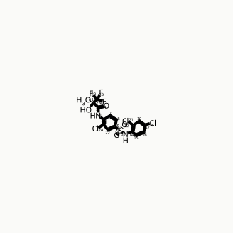 C[C@@](O)(C(=O)Nc1ccc(S(=O)(=O)Nc2ccc(Cl)cc2Cl)cc1Cl)C(F)(F)F